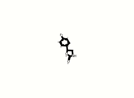 O=C1NCC(c2ccc(F)cc2)O1